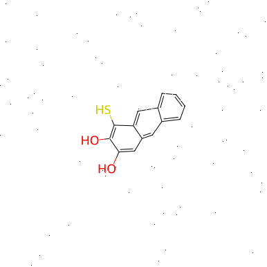 Oc1cc2cc3ccccc3cc2c(S)c1O